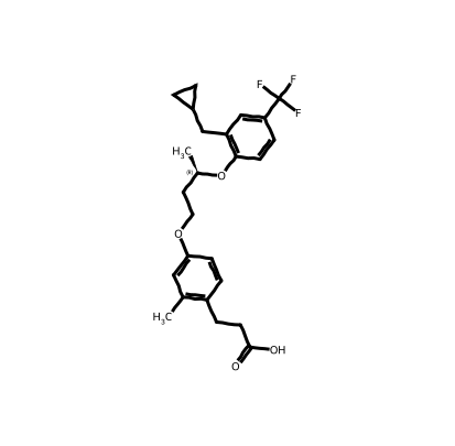 Cc1cc(OCC[C@@H](C)Oc2ccc(C(F)(F)F)cc2CC2CC2)ccc1CCC(=O)O